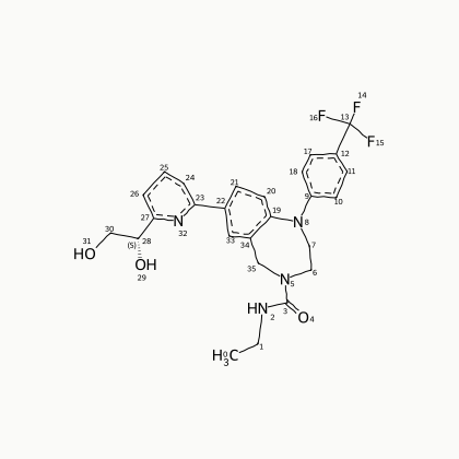 CCNC(=O)N1CCN(c2ccc(C(F)(F)F)cc2)c2ccc(-c3cccc([C@H](O)CO)n3)cc2C1